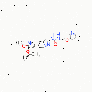 COc1ncc(-c2ccn3nc(NC(=O)NCCOc4cccnc4)cc3c2)cc1OC(C)C